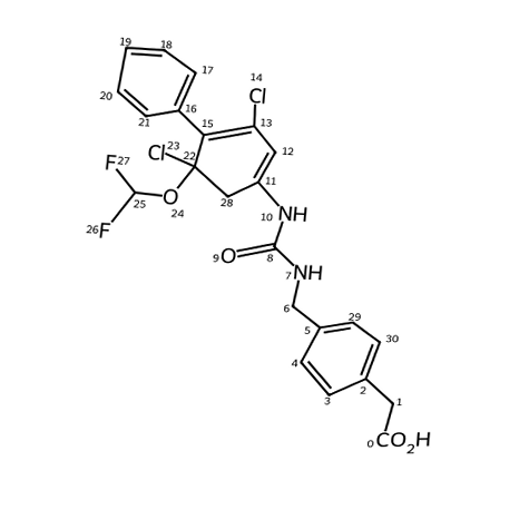 O=C(O)Cc1ccc(CNC(=O)NC2=CC(Cl)=C(c3ccccc3)C(Cl)(OC(F)F)C2)cc1